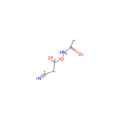 CC(=O)NOC(=O)CC#N